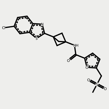 CS(=O)(=O)Cc1ccc(C(=O)NC23CC(c4nc5ccc(Cl)cc5s4)(C2)C3)o1